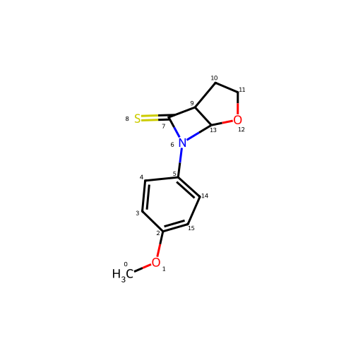 COc1ccc(N2C(=S)C3CCOC32)cc1